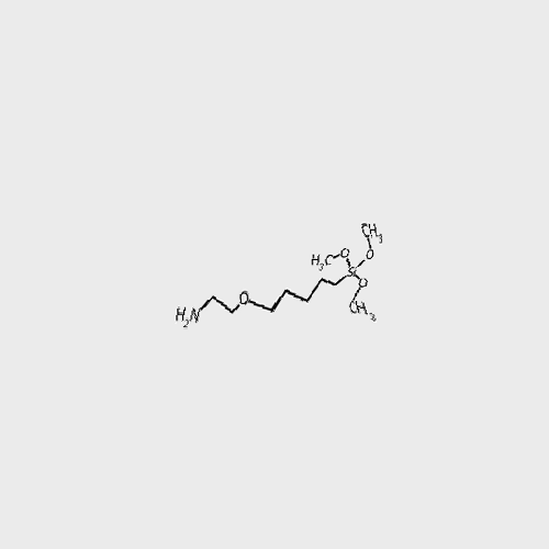 CO[Si](CCCCCOCCN)(OC)OC